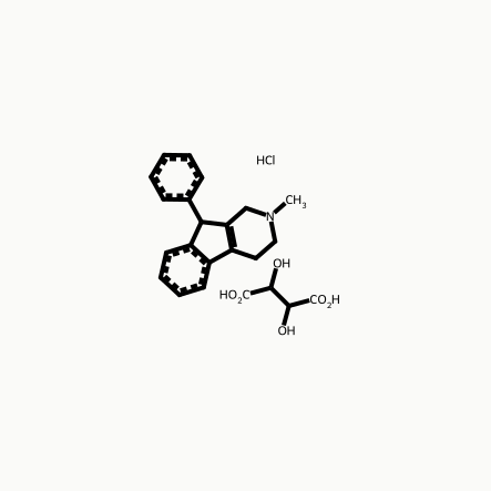 CN1CCC2=C(C1)C(c1ccccc1)c1ccccc12.Cl.O=C(O)C(O)C(O)C(=O)O